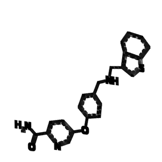 NC(=O)c1ccc(Oc2ccc(CNCc3csc4ccccc34)cc2)cn1